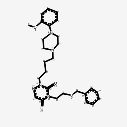 COc1ccccc1N1CCN(CCCCn2ncc(=O)n(CCOCc3ccccc3)c2=O)CC1